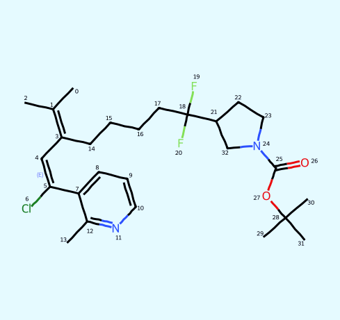 CC(C)=C(/C=C(/Cl)c1cccnc1C)CCCCC(F)(F)C1CCN(C(=O)OC(C)(C)C)C1